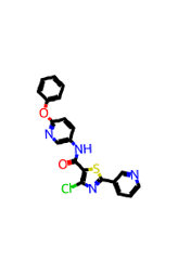 O=C(Nc1ccc(Oc2ccccc2)nc1)c1sc(-c2cccnc2)nc1Cl